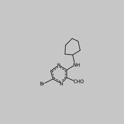 O=Cc1nc(Br)cnc1NC1CCCCC1